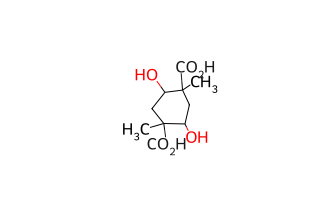 CC1(C(=O)O)CC(O)C(C)(C(=O)O)CC1O